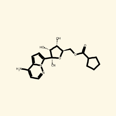 N#C[C@@]1(c2ccc3c(N)ccnn23)O[C@H](COC(=O)C2CCCC2)[C@@H](O)[C@H]1O